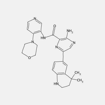 CC1(C)CCNc2ccc(-c3cnc(N)c(C(=O)Nc4cnccc4N4CCOCC4)n3)cc21